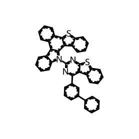 c1ccc(-c2cccc(-c3nc(-n4c5ccccc5c5c6ccccc6c6sc7ccccc7c6c54)nc4sc5ccccc5c34)c2)cc1